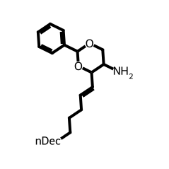 CCCCCCCCCCCCCC=CC1OC(c2ccccc2)OCC1N